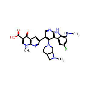 CNc1cc(F)cc2c1[nH]c1ncc(-c3cnc4c(c3)c(=O)c(C(=O)O)cn4C)c(N3CCC4CN(C)C4C3)c12